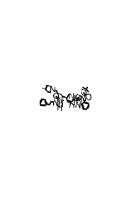 CC1CCN(CCCC(NC(=O)NCCc2ccccc2)c2ccc(C(=O)Nc3ccccc3NC(=O)OC(C)(C)C)nc2)CC1